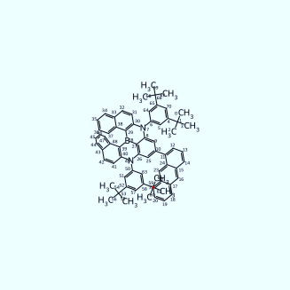 CC(C)(C)c1cc(N2c3cc(-c4cccc5cc6ccccc6cc45)cc4c3B(c3c2ccc2ccccc32)c2c(ccc3ccccc23)N4c2cc(C(C)(C)C)cc(C(C)(C)C)c2)cc(C(C)(C)C)c1